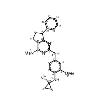 CNc1nc(Nc2ccc(NC3(C#N)CC3)c(OC)c2)nc2c1CCC2c1ccccc1